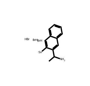 Br.Br.Br.CC(N)c1cc2ccccc2c[c]1[Sn]